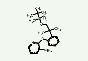 CC(C)(CO[Si](C)(C)C(C)(C)C)c1ccccc1Oc1ncccc1N